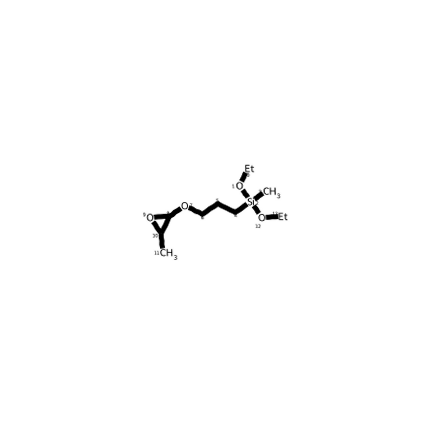 CCO[Si](C)(CCCOC1OC1C)OCC